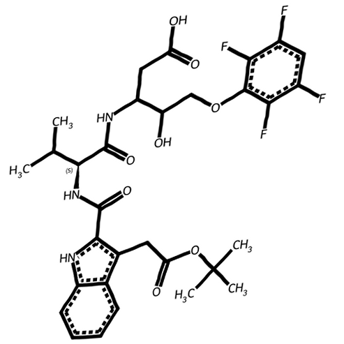 CC(C)[C@H](NC(=O)c1[nH]c2ccccc2c1CC(=O)OC(C)(C)C)C(=O)NC(CC(=O)O)C(O)COc1c(F)c(F)cc(F)c1F